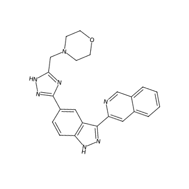 c1ccc2cc(-c3n[nH]c4ccc(-c5n[nH]c(CN6CCOCC6)n5)cc34)ncc2c1